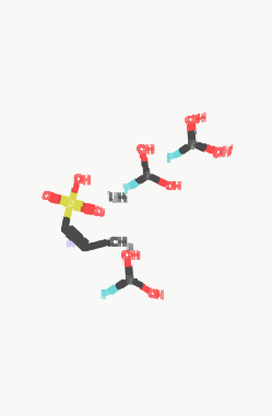 C/C=C\S(=O)(=O)O.OB(O)F.OB(O)F.OB(O)F.[LiH]